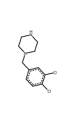 Clc1ccc(CN2[CH]CNCC2)cc1Cl